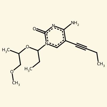 CCC#Cc1cn(C(CC)OC(C)COC)c(=O)nc1N